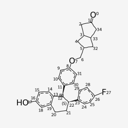 O=C1CC2CC(COc3ccc([C@@H]4c5ccc(O)cc5CC[C@@H]4c4ccc(F)cc4)cc3)CC2C1